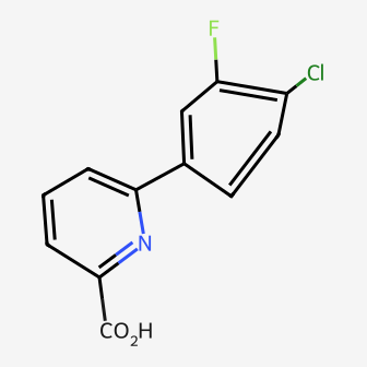 O=C(O)c1cccc(-c2ccc(Cl)c(F)c2)n1